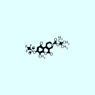 Cc1c(OS(=O)(=O)C(F)(F)F)cc(Cl)c2c3c(c(=O)oc12)CN(C(=O)OC(C)(C)C)CC3